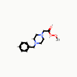 CCOOC(=O)CN1CCN(Cc2ccccc2)CC1